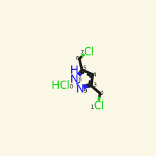 Cl.ClCc1cc(CCl)[nH]n1